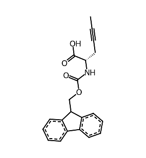 CC#CC[C@H](NC(=O)OCC1c2ccccc2-c2ccccc21)C(=O)O